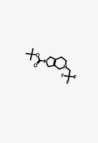 CC(C)(C)OC(=O)N1CC2=C(CN(CC(F)(F)F)CC2)C1